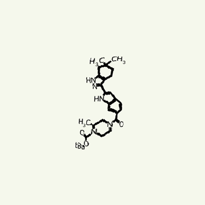 C[C@H]1CN(C(=O)c2ccc3cc(-c4n[nH]c5c4CCC(C)(C)C5)[nH]c3c2)CCN1C(=O)OC(C)(C)C